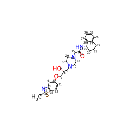 Cc1nc2cc(OC[C@H](O)CN3CCN(CC(=O)N[C@H]4CCCc5ccccc54)CC3)ccc2s1